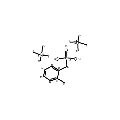 C[N+](C)(C)C.C[N+](C)(C)C.Cc1ccccc1CP(=O)([O-])[S-]